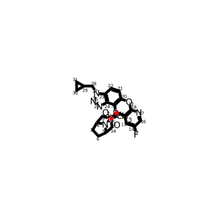 CS(=O)(=O)N1C2CCC1CN(Cc1cc(F)cnc1Oc1ccc3c(nnn3CC3CC3)c1Br)C2